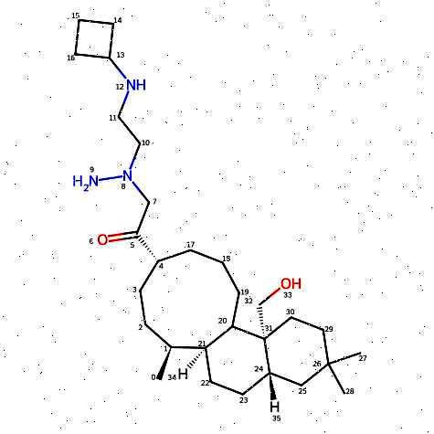 C[C@H]1CC[C@H](C(=O)CN(N)CCNC2CCC2)CCCC2[C@H]1CC[C@H]1CC(C)(C)CC[C@]21CO